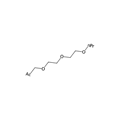 CCCOCCOCCOCC(C)=O